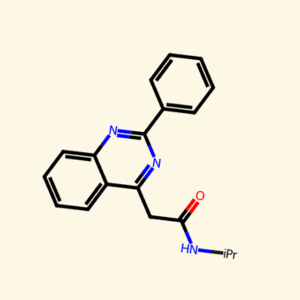 CC(C)NC(=O)Cc1nc(-c2ccccc2)nc2ccccc12